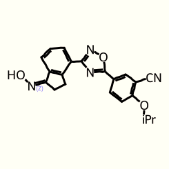 CC(C)Oc1ccc(-c2nc(-c3cccc4c3CC/C4=N/O)no2)cc1C#N